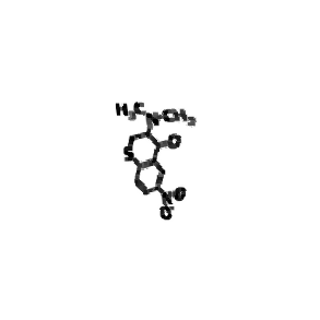 CN(C)C1CSc2ccc([N+](=O)[O-])cc2C1=O